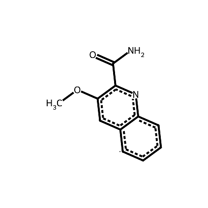 COc1cc2[c]cccc2nc1C(N)=O